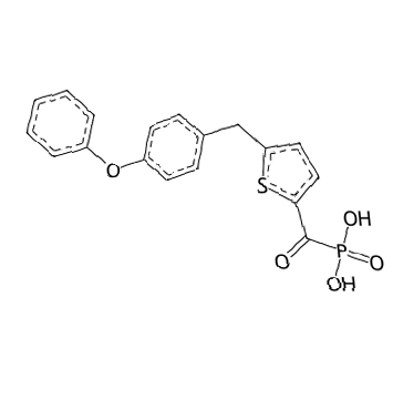 O=C(c1ccc(Cc2ccc(Oc3ccccc3)cc2)s1)P(=O)(O)O